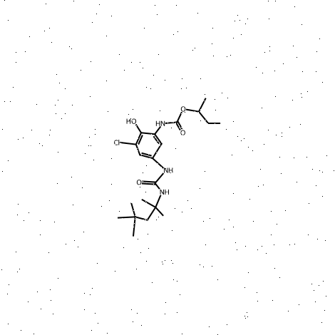 CCC(C)OC(=O)Nc1cc(NC(=O)NC(C)(C)CC(C)(C)C)cc(Cl)c1O